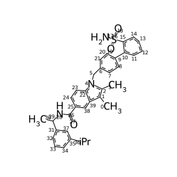 Cc1c(C)n(Cc2ccc(-c3ccccc3S(N)(=O)=O)cc2)c2ccc(C(=O)NC(C)c3cccc(C(C)C)c3)cc12